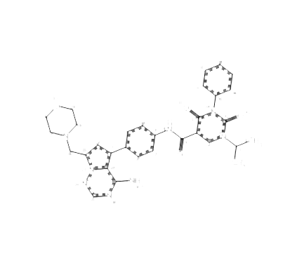 CC(C)n1cc(C(=O)Nc2ccc(-c3cc(CN4CCOCC4)n4ncnc(N)c34)cc2)c(=O)n(-c2ccccc2)c1=O